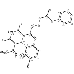 COC(=O)C1=C(C)NC(C)=C(C(=O)OCCN(C)Cc2ccccc2)C1c1cccc(F)c1[N+](=O)[O-]